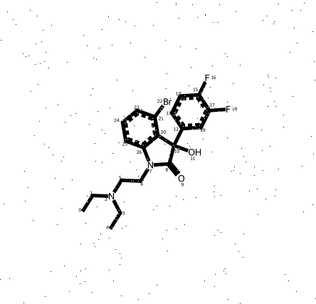 CCN(CC)CCN1C(=O)C(O)(c2ccc(F)c(F)c2)c2c(Br)cccc21